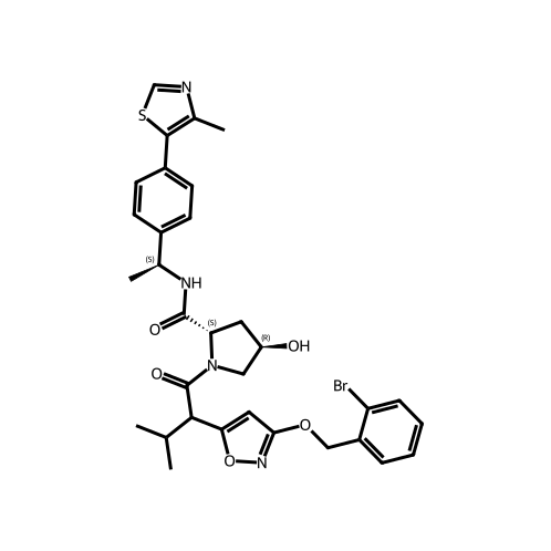 Cc1ncsc1-c1ccc([C@H](C)NC(=O)[C@@H]2C[C@@H](O)CN2C(=O)C(c2cc(OCc3ccccc3Br)no2)C(C)C)cc1